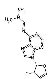 CN(C)/C=N/c1ncnc2c1ncn2[C@@H]1OC=C[C@@H]1F